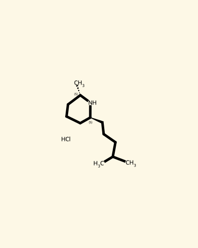 CC(C)CCC[C@H]1CCC[C@H](C)N1.Cl